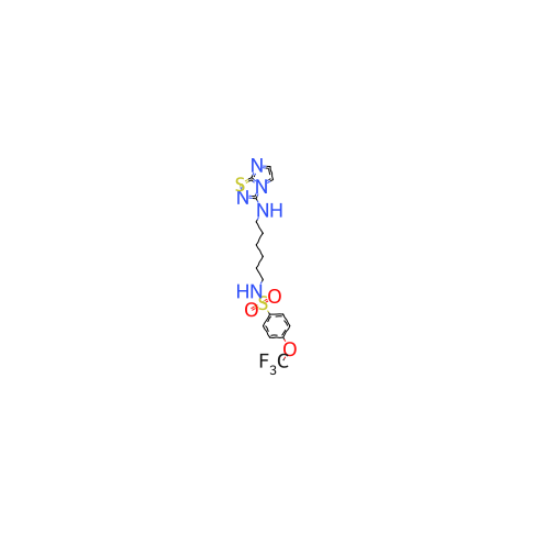 O=S(=O)(NCCCCCCNc1nsc2nccn12)c1ccc(OC(F)(F)F)cc1